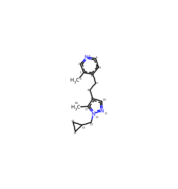 Cc1cnccc1CCc1cnn(CC2CC2)c1C